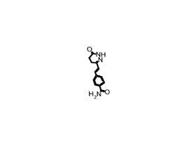 NC(=O)c1ccc(C=CC2=NNC(=O)CC2)cc1